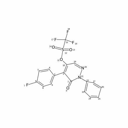 O=c1c(-c2ccc(F)cc2)c(OS(=O)(=O)C(F)(F)F)cnn1-c1ccccc1